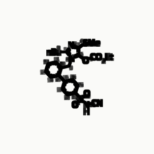 CCCCc1nc(SC)c(OC(=O)OCC)n1Cc1ccccc1-c1ccc(S(=O)(=O)NC#N)cc1